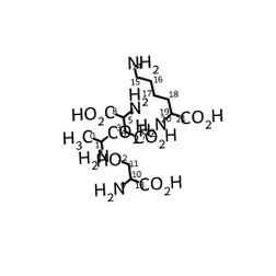 CC(N)C(=O)O.NC(CC(=O)O)C(=O)O.NC(CO)C(=O)O.NCCCCC(N)C(=O)O